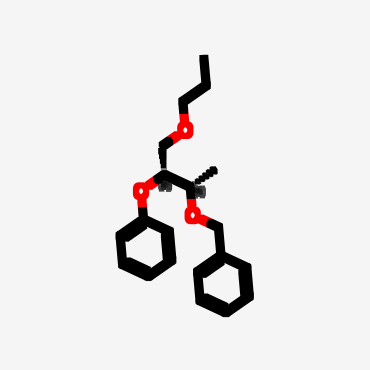 CCCOC[C@@H](Oc1ccccc1)[C@H](C)OCc1ccccc1